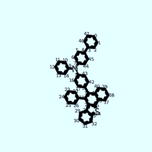 c1ccc(-c2ccc(N(c3ccccc3)c3ccc(-c4c(-c5ccccc5)c5c6ccccc6sc5c5ccccc45)cc3)cc2)cc1